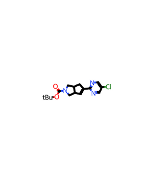 CC(C)(C)OC(=O)N1CC2C=C(c3ncc(Cl)cn3)CC2C1